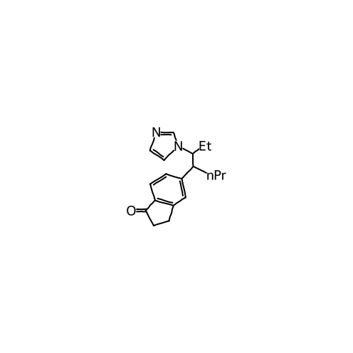 CCCC(c1ccc2c(c1)CCC2=O)C(CC)n1ccnc1